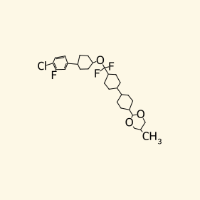 CC1COC(C2CCC(C3CCC(C(F)(F)OC4CCC(c5ccc(Cl)c(F)c5)CC4)CC3)CC2)OC1